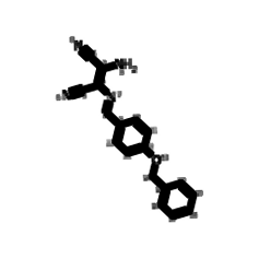 N#CC(N)=C(C#N)N=Cc1ccc(OCc2ccccc2)cc1